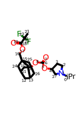 CC(C)N1CCC(OC(=O)OC23CC4CC(CC(COC(=O)C(C)(F)F)(C4)C2)C3)C1